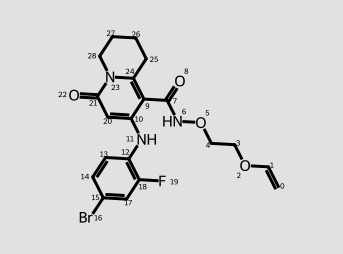 C=COCCONC(=O)c1c(Nc2ccc(Br)cc2F)cc(=O)n2c1CCCC2